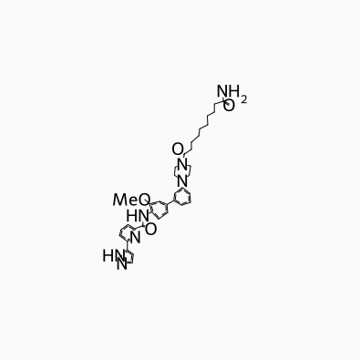 COc1cc(-c2cccc(N3CCN(C(=O)CCCCCCCCC(N)=O)CC3)c2)ccc1NC(=O)c1cccc(-c2ccn[nH]2)n1